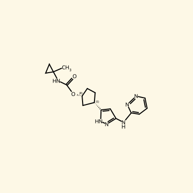 CC1(NC(=O)O[C@@H]2CC[C@H](c3cc(Nc4cccnn4)n[nH]3)C2)CC1